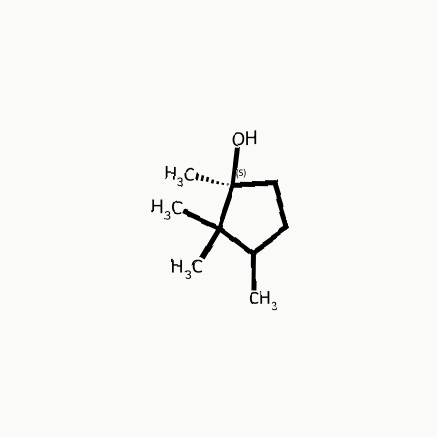 CC1CC[C@](C)(O)C1(C)C